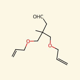 C=CCOCC(C)(CC=O)COCC=C